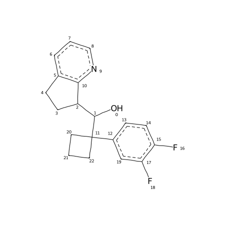 OC(C1CCc2cccnc21)C1(c2ccc(F)c(F)c2)CCC1